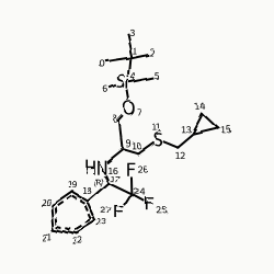 CC(C)(C)[Si](C)(C)OCC(CSCC1CC1)N[C@H](c1ccccc1)C(F)(F)F